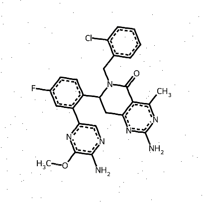 COc1nc(-c2cc(F)ccc2C2Cc3nc(N)nc(C)c3C(=O)N2Cc2ccccc2Cl)cnc1N